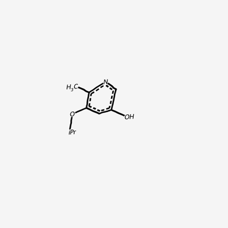 Cc1ncc(O)cc1OC(C)C